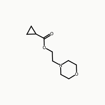 O=C(OCCN1CCOCC1)C1CC1